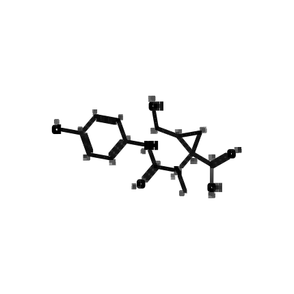 CN(C(=O)Nc1ccc(Cl)cc1)C1(C(=O)O)CC1CO